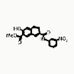 COC(=O)c1cc2cc(C(=O)Nc3cccc([N+](=O)[O-])c3)ccc2cc1O